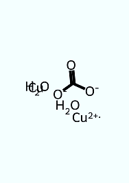 O.O.O=C([O-])[O-].[Cu+2].[Cu]